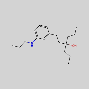 CCCNc1cccc(CCC(O)(CCC)CCC)c1